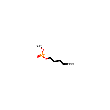 CCCCCCCCCCO[PH](=O)OC=O